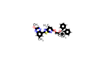 COc1cnc2c(-c3nc4c(C)cc(OC[C@@H](C)O[Si](c5ccccc5)(c5ccccc5)C(C)(C)C)nc4s3)cc(C)cc2n1